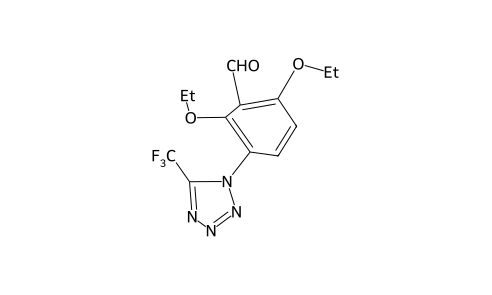 CCOc1ccc(-n2nnnc2C(F)(F)F)c(OCC)c1C=O